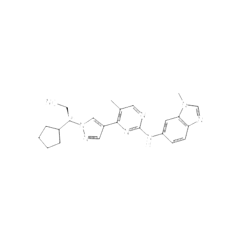 Cc1cnc(Nc2ccc3ncn(C)c3c2)nc1-c1cnn([C@H](CC#N)C2CCCC2)c1